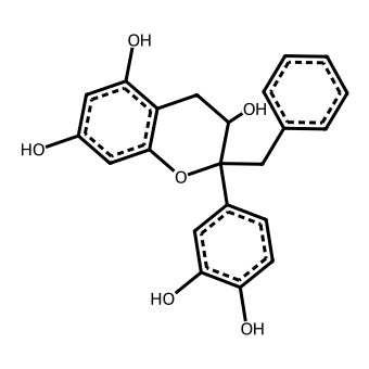 Oc1cc(O)c2c(c1)OC(Cc1ccccc1)(c1ccc(O)c(O)c1)C(O)C2